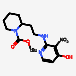 CC(C)(C)OC(=O)N1CCCCC1CCNc1nccc(O)c1[N+](=O)[O-]